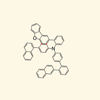 c1ccc(-c2ccc3ccccc3c2)c(-c2ccc(N(c3ccc(-c4cccc5ccccc45)cc3)c3ccccc3-c3ccc4oc5ccccc5c4c3)cc2)c1